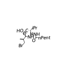 C=C(CBr)C(=O)NN(NC(=O)CCCCC)[C@H](C(=O)O)C(C)C